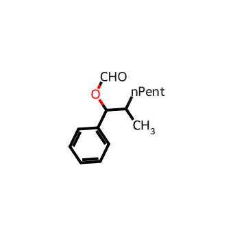 CCCCCC(C)C(OC=O)c1ccccc1